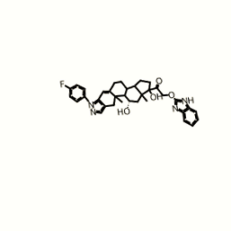 CC12Cc3cnn(-c4ccc(F)cc4)c3C=C1CCC1C2[C@@H](O)CC2(C)C1CCC2(O)C(=O)COc1nc2ccccc2[nH]1